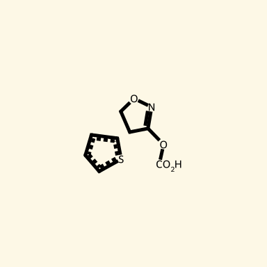 O=C(O)OC1=NOCC1.c1ccsc1